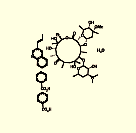 CC=Cc1cnc2ccccc2c1.CC[C@H]1OC(=O)[C@H](C)[C@@H](O[C@H]2C[C@@](C)(OC)[C@@H](O)[C@H](C)O2)[C@@H](C)[C@@H](O[C@@H]2O[C@H](C)C[C@H](N(C)C)[C@H]2O)[C@](C)(O)C[C@@H](C)C(=O)[C@H](C)[C@H](O)[C@]1(C)O.O.O=C(O)c1ccccc1.O=C(O)c1ccccc1